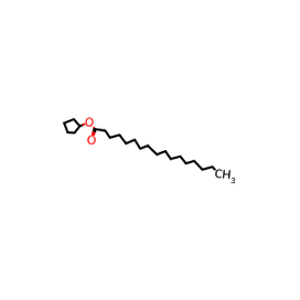 CCCCCCCCCCCCCCCCC(=O)OC1CCCC1